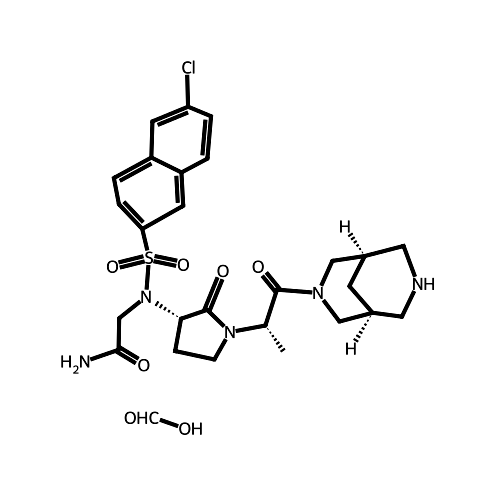 C[C@@H](C(=O)N1C[C@@H]2CNC[C@@H](C2)C1)N1CC[C@H](N(CC(N)=O)S(=O)(=O)c2ccc3cc(Cl)ccc3c2)C1=O.O=CO